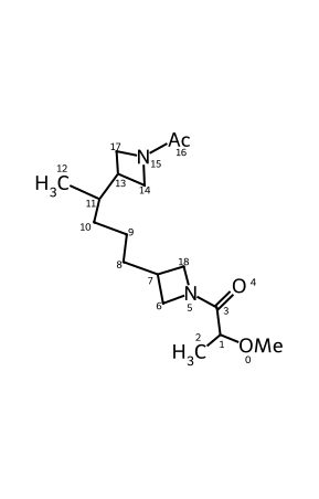 COC(C)C(=O)N1CC(CCCC(C)C2CN(C(C)=O)C2)C1